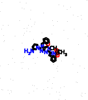 Cn1c(CCc2ccccc2NS(C)(=O)=O)nc2nc(N3CCCC(N)C3)n(Cc3ccccc3)c2c1=O